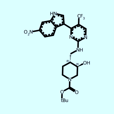 CC(C)(C)OC(=O)N1CC[C@H](CNc2ncc(C(F)(F)F)c(-c3c[nH]c4cc([N+](=O)[O-])ccc34)n2)[C@@H](O)C1